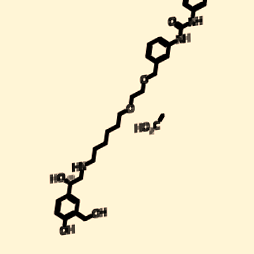 CC(=O)O.Cc1cccc(NC(=O)Nc2cccc(COCCOCCCCCCNC[C@H](O)c3ccc(O)c(CO)c3)c2)c1